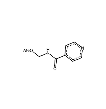 COCNC(=O)c1ccncc1